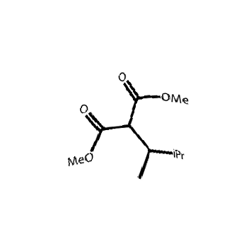 COC(=O)C(C(=O)OC)C(C)C(C)C